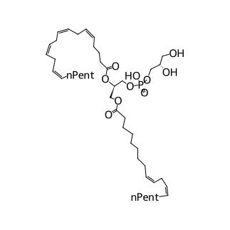 CCCCC/C=C\C/C=C\C/C=C\C/C=C\CCCC(=O)O[C@H](COC(=O)CCCCCCC/C=C\C/C=C\CCCCC)COP(=O)(O)OC[C@@H](O)CO